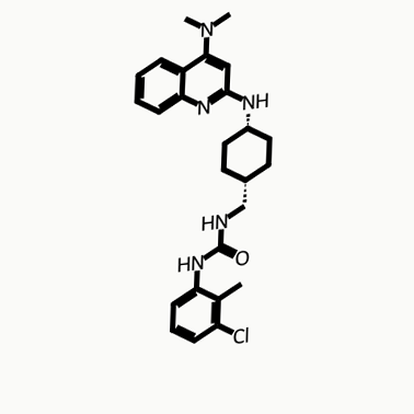 Cc1c(Cl)cccc1NC(=O)NC[C@H]1CC[C@@H](Nc2cc(N(C)C)c3ccccc3n2)CC1